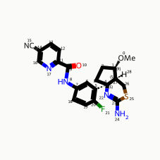 CO[C@@H]1CC[C@]2(c3cc(NC(=O)c4ccc(C#N)cn4)ccc3F)N=C(N)SC[C@H]12